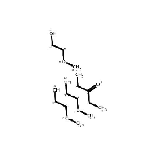 CCC(=O)CC.COCCO.COCCO.COCCO